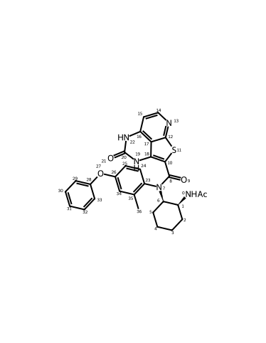 CC(=O)N[C@H]1CCCC[C@H]1N(C(=O)c1sc2nccc3c2c1NC(=O)N3)c1ccc(Oc2ccccc2)cc1C